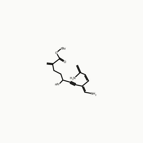 C=C(N)/C=C\C(C#CC(CCC)CCC(=C)C(=O)OC(C)(C)C)=C/N